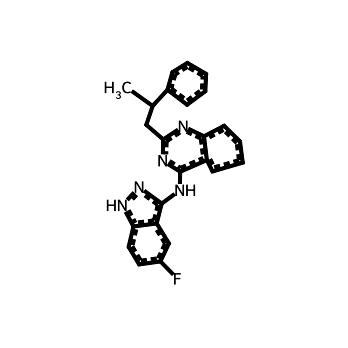 CC(Cc1nc(Nc2n[nH]c3ccc(F)cc23)c2ccccc2n1)c1ccccc1